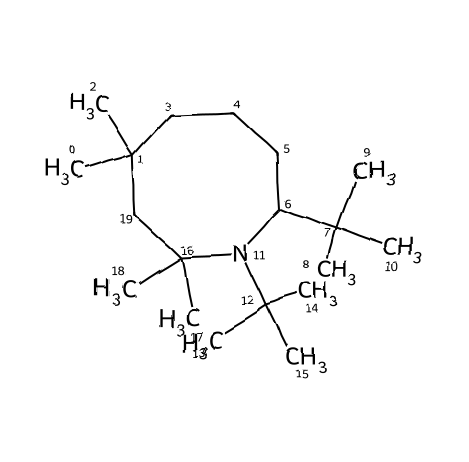 CC1(C)CCCC(C(C)(C)C)N(C(C)(C)C)C(C)(C)C1